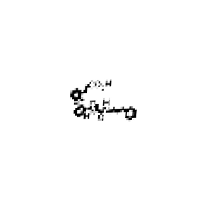 O=C(O)CCc1ccccc1C[C@@H]1[C@H](c2nc(C(=O)NCC=CCC3CCCCC3)co2)[C@H]2CC[C@@H]1O2